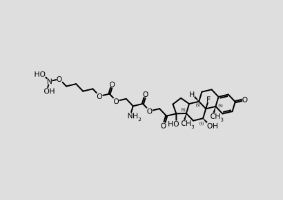 C[C@]12C=CC(=O)C=C1CC[C@H]1C3CCC(O)(C(=O)COC(=O)C(N)COC(=O)OCCCCON(O)O)[C@@]3(C)C[C@H](O)C12F